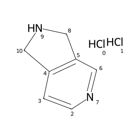 Cl.Cl.c1cc2c(cn1)CNC2